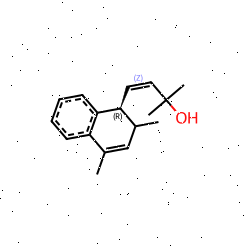 CC1=CC(C)[C@H](/C=C\C(C)(C)O)c2ccccc21